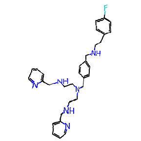 Fc1ccc(CCNCc2ccc(CN(CCNCc3ccccn3)CCNCc3ccccn3)cc2)cc1